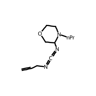 C=CCN=C=NC1COCCN1CCC